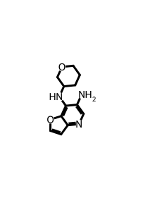 Nc1cnc2ccoc2c1NC1CCCOC1